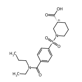 CCCN(CC)C(=O)c1ccc(S(=O)(=O)N2CCC[C@@H](C(=O)O)C2)cc1